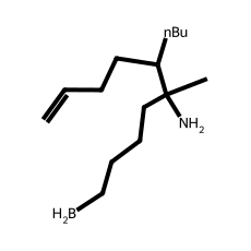 BCCCCC(C)(N)C(CCC=C)CCCC